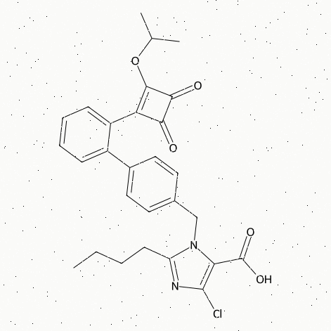 CCCCc1nc(Cl)c(C(=O)O)n1Cc1ccc(-c2ccccc2-c2c(OC(C)C)c(=O)c2=O)cc1